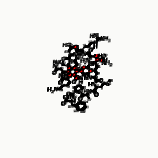 CSCC[C@H](NC(=O)[C@H](CCCNC(=N)N)NC(=O)[C@@H](NC(=O)[C@H](CCCCN)NC(=O)[C@H](CC(N)=O)NC(=O)[C@H](CCCCN)NC(=O)[C@H](CCC(=O)O)NC(=O)[C@H](CO)NC(=O)[C@H](CC(=O)O)NC(=O)[C@H](CCCNC(=N)N)NC(=O)[C@@H](N)CCC(N)=O)C(C)C)C(=O)N[C@@H](C)C(=O)N1CCC[C@H]1C(=O)N[C@@H](Cc1ccccc1)C(=O)O